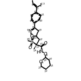 CC=C(F)c1ccc(C2=NOC(C[C@](C)(C(=O)NOC3CCCCO3)S(C)(=O)=O)C2)cc1